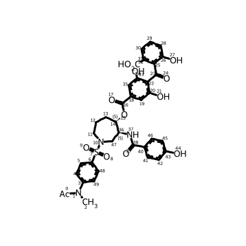 CC(=O)N(C)c1ccc(S(=O)(=O)N2CCC[C@H](OC(=O)c3cc(O)c(C(=O)c4c(O)cccc4C(=O)O)c(O)c3)[C@@H](NC(=O)c3ccc(O)cc3)C2)cc1